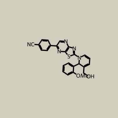 COc1ccccc1C1C(CO)=CC=CN1c1nc2ncc(-c3ccc(C#N)cc3)nc2s1